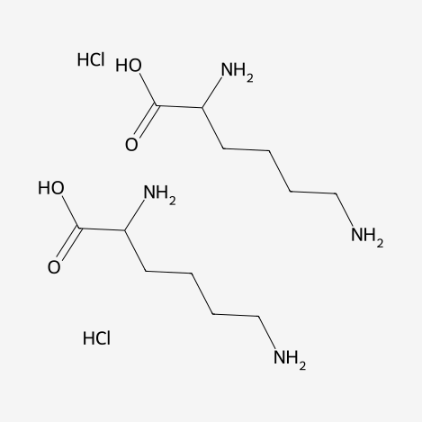 Cl.Cl.NCCCCC(N)C(=O)O.NCCCCC(N)C(=O)O